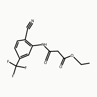 CCOC(=O)CC(=O)Nc1cc(C(F)(F)F)ccc1C#N